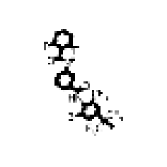 CN(C(=O)c1c(F)cccc1F)c1cccc(C(=O)Nc2c(Br)cc(C(F)(C(F)(F)F)C(F)(F)F)cc2C(F)(F)F)c1